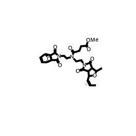 C/C=C\C1OC(C)C2C(=O)N(CCN(CCN3C(=O)C4C5C=CC(O5)C4C3=O)C(=O)CCC(=O)OC)C(=O)C12